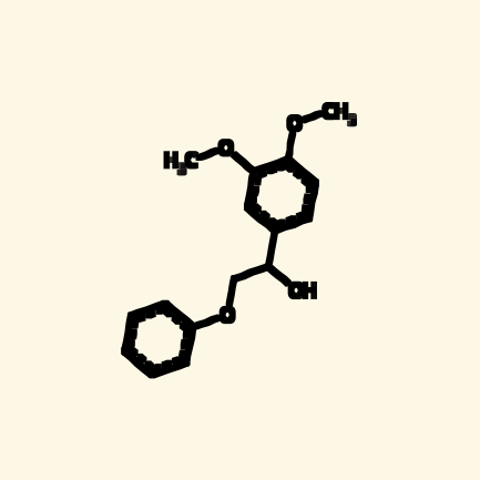 COc1ccc(C(O)COc2ccccc2)cc1OC